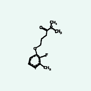 Cc1[c]ccc(OCCCC(=O)N(C)C)c1F